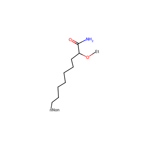 CCCCCCCCCCCCCCCCC(OCC)C(N)=O